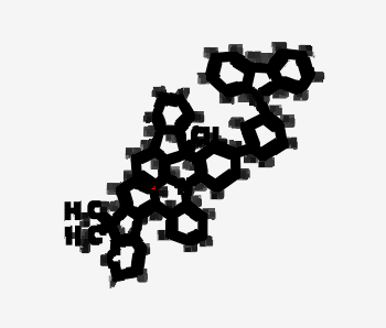 CC1(C)C2=C(C=CCC2)c2c(-c3ccccc3N3c4ccc(-c5cccc(-n6c7ccccc7c7ccccc76)c5)cc4C4(C)c5ccccc5-c5cccc3c54)cccc21